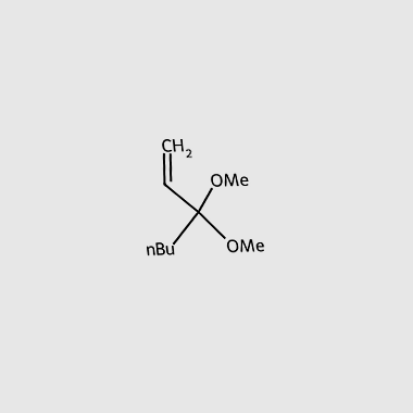 C=CC(CCCC)(OC)OC